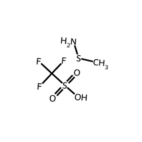 CSN.O=S(=O)(O)C(F)(F)F